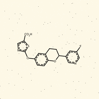 O=C(O)c1cnc(Oc2ccc3c(c2)CCC(c2cncc(F)c2)O3)s1